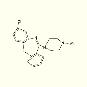 CCCN1CCN(C2=Nc3cc(Cl)ccc3Oc3ccccc32)CC1